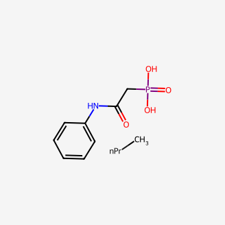 CCCC.O=C(CP(=O)(O)O)Nc1ccccc1